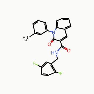 O=C(NCc1cc(F)ccc1F)c1cc2ccccc2n(-c2cccc(C(F)(F)F)c2)c1=O